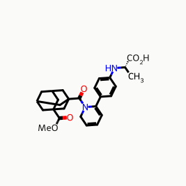 COC(=O)C12CC3CC(C1)CC(C(=O)N1CC=CC=C1c1ccc(N[C@@H](C)C(=O)O)cc1)(C3)C2